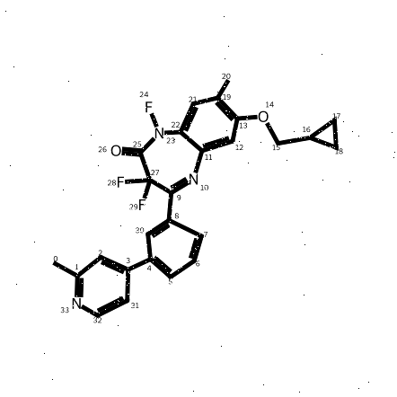 Cc1cc(-c2cccc(C3=Nc4cc(OCC5CC5)c(C)cc4N(F)C(=O)C3(F)F)c2)ccn1